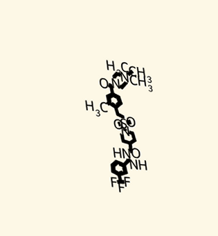 Cc1cc(C(=O)N2CCN(C(C)(C)C)CC2)ccc1CCS(=O)(=O)N1CCC(C(=O)NC(=N)c2cccc(C(F)(F)F)c2)CC1